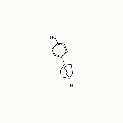 Oc1ccc([C@]23CC[C@H](CC2)CO3)cc1